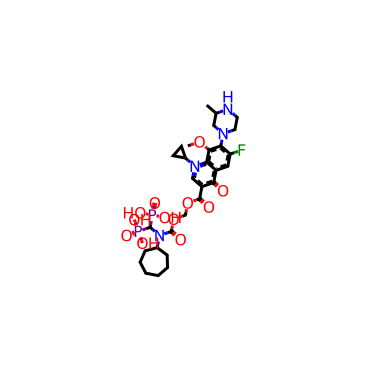 COc1c(N2CCNC(C)C2)c(F)cc2c(=O)c(C(=O)OCOC(=O)N(C3CCCCCC3)C(P(=O)(O)O)P(=O)(O)O)cn(C3CC3)c12